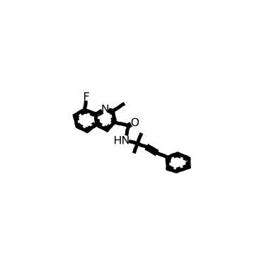 Cc1nc2c(F)cccc2cc1C(=O)NC(C)(C)C#Cc1ccccc1